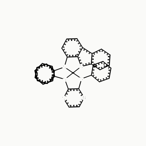 c1ccc(N2c3nccnc3N(c3ccccc3)C23N(c2ccccc2)c2cccc4c5ccccc5n3c24)cc1